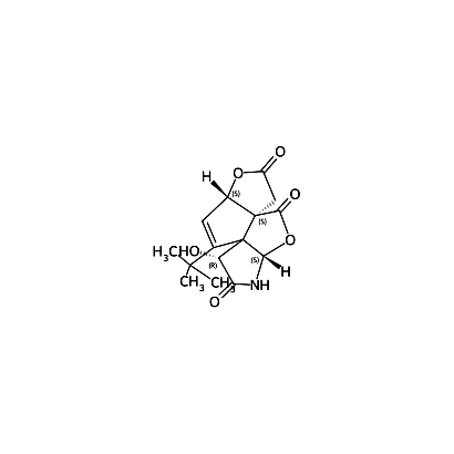 CC(C)(C)C1=C[C@@H]2OC(=O)C[C@@]23C(=O)O[C@@H]2NC(=O)[C@H](O)C123